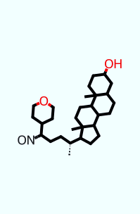 C[C@H](CCC(N=O)C1CCOCC1)C1CCC2C3CCC4CC(O)CCC4(C)C3CCC21C